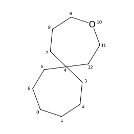 C1CCCC2(CC1)CCCOCC2